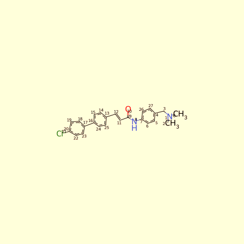 CN(C)Cc1ccc(NC(=O)C=Cc2ccc(-c3ccc(Cl)cc3)cc2)cc1